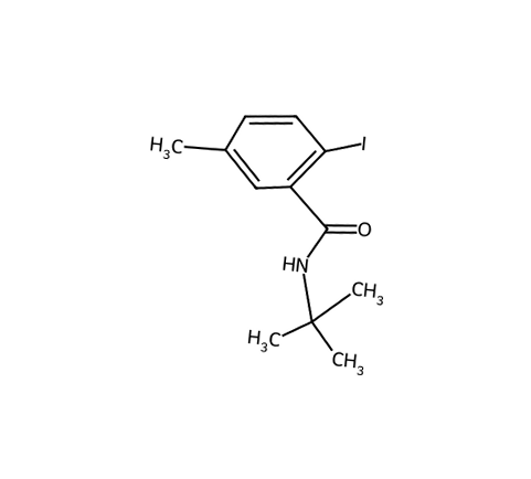 Cc1ccc(I)c(C(=O)NC(C)(C)C)c1